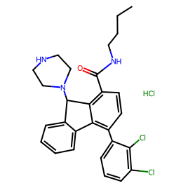 CCCCNC(=O)c1ccc(-c2cccc(Cl)c2Cl)c2c1C(N1CCNCC1)c1ccccc1-2.Cl